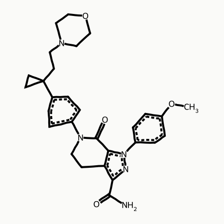 COc1ccc(-n2nc(C(N)=O)c3c2C(=O)N(c2ccc(C4(CCN5CCOCC5)CC4)cc2)CC3)cc1